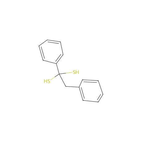 SC(S)(Cc1ccccc1)c1ccccc1